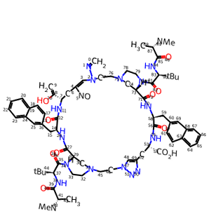 C=NN1/C=C(\N=O)C[C@@H](C(=C)O)NC(=O)[C@H](Cc2ccc3ccccc3c2)NC(=O)[C@@H]2CN(CCN2C(=O)[C@@H](NC(=O)[C@H](C)NC)C(C)(C)C)CCn2cc(nn2)C[C@@H](C(=O)O)NC(=O)[C@H](Cc2ccc3ccccc3c2)NC(=O)[C@@H]2CN(CC1)CCN2C(=O)[C@@H](NC(=O)[C@H](C)NC)C(C)(C)C